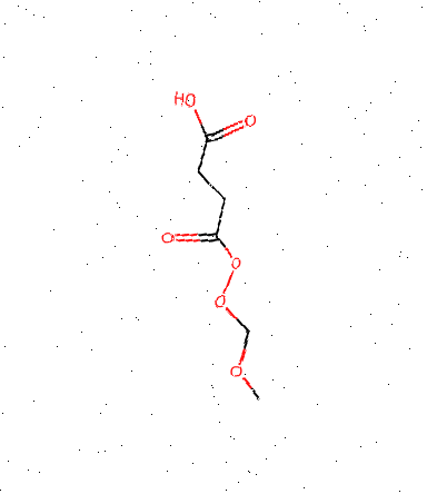 COCOOC(=O)CCC(=O)O